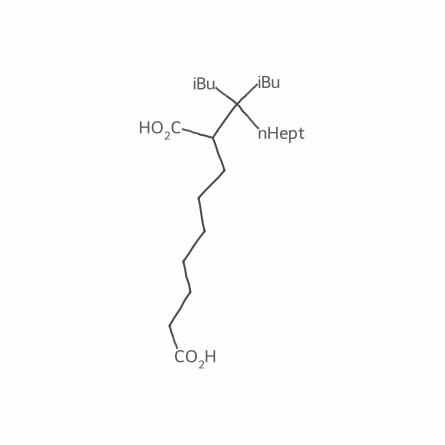 CCCCCCCC(C(C)CC)(C(C)CC)C(CCCCCCC(=O)O)C(=O)O